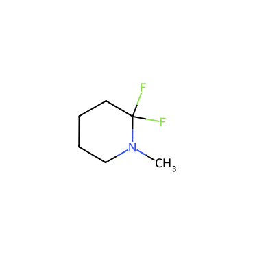 CN1CCCCC1(F)F